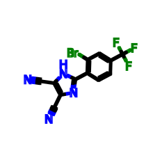 N#Cc1nc(-c2ccc(C(F)(F)F)cc2Br)[nH]c1C#N